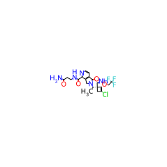 CC(N1Cc2c(ccnc2C(=O)NCCC(N)=O)C1=O)[C@@]1(C=N)CC(Cl)=C1OCC(F)(F)F